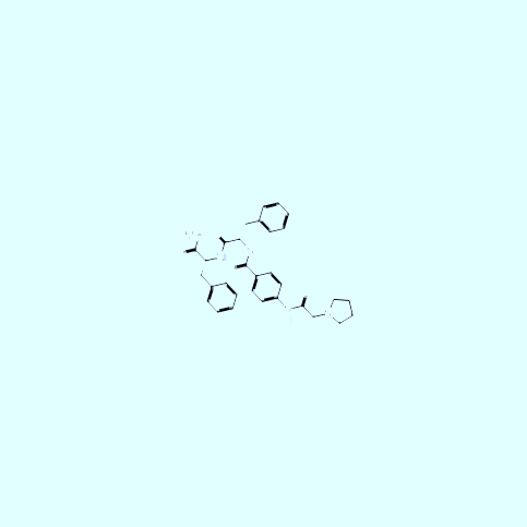 COC(=O)[C@H](Cc1ccccc1)NC(=O)[C@H](Cc1ccccc1)NC(=O)c1ccc(NC(=O)CN2CCCC2)cc1